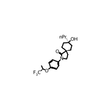 CCC[C@]1(O)CC[C@]2(CCN(c3ccc(O[C@H](C)C(F)(F)F)cc3)C2=O)CC1